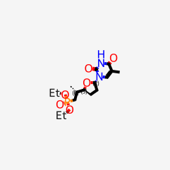 CCOP(=O)(C[C@H](C)[C@@H]1CC[C@H](n2cc(C)c(=O)[nH]c2=O)O1)OCC